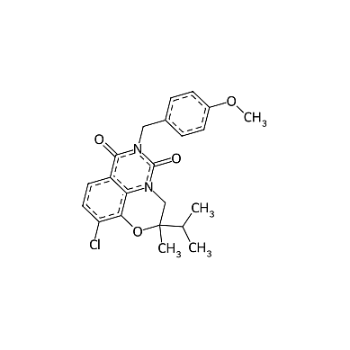 COc1ccc(Cn2c(=O)c3ccc(Cl)c4c3n(c2=O)CC(C)(C(C)C)O4)cc1